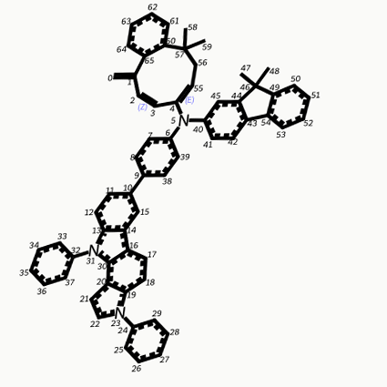 C=C1/C=C\C(N(c2ccc(-c3ccc4c(c3)c3ccc5c(ccn5-c5ccccc5)c3n4-c3ccccc3)cc2)c2ccc3c(c2)C(C)(C)c2ccccc2-3)=C/CC(C)(C)c2ccccc21